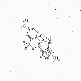 CCOC1=CCC2(C)C(=C1)C1(CC1)CC1=C2CCC23C(=O)C=C[C@]2(C)CC=C13